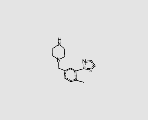 Cc1ccc(CN2CCNCC2)cc1-c1nccs1